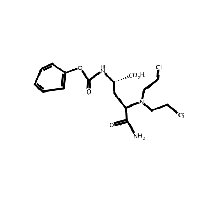 NC(=O)C(C[C@H](NC(=O)Oc1ccccc1)C(=O)O)N(CCCl)CCCl